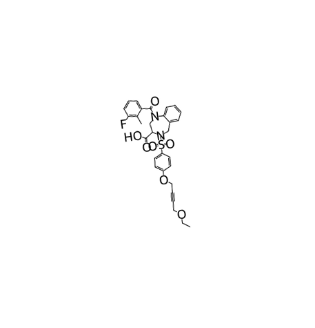 CCOCC#CCOc1ccc(S(=O)(=O)N2Cc3ccccc3N(C(=O)c3cccc(F)c3C)CC2C(=O)O)cc1